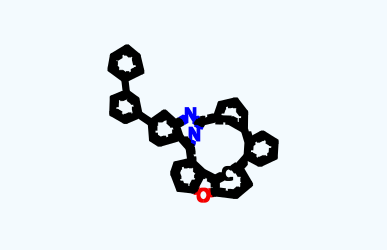 c1ccc(-c2cccc(-c3ccc4c(c3)nc3nc4c4cccc5oc6ccc(cc6c54)c4ccccc4c4cccc3c4)c2)cc1